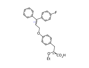 CCO[C@@H](Cc1ccc(OC/C=C(/c2ccccc2)c2ccc(F)cc2)cc1)C(=O)O